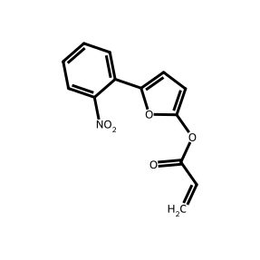 C=CC(=O)Oc1ccc(-c2ccccc2[N+](=O)[O-])o1